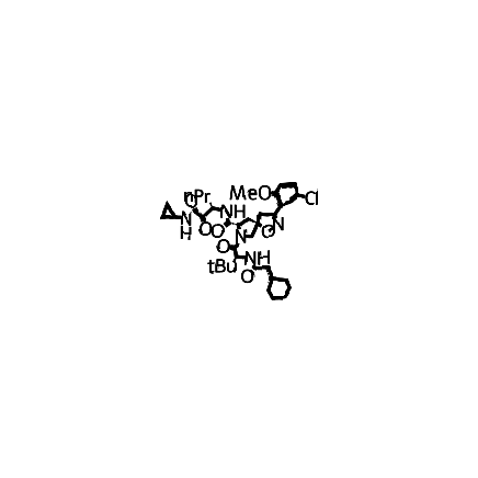 CCC[C@H](NC(=O)[C@@H]1C[C@]2(CC(c3cc(Cl)ccc3OC)=NO2)CN1C(=O)[C@@H](NC(=O)CC1CCCCC1)C(C)(C)C)C(=O)C(=O)NC1CC1